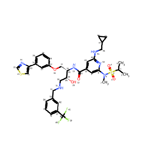 CC(C)S(=O)(=O)N(C)c1cc(C(=O)N[C@@H](COc2cccc(-c3cscn3)c2)[C@H](O)CNCc2cccc(C(F)(F)F)c2)cc(NCC2CC2)n1